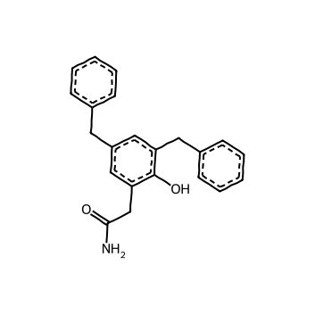 NC(=O)Cc1cc(Cc2ccccc2)cc(Cc2ccccc2)c1O